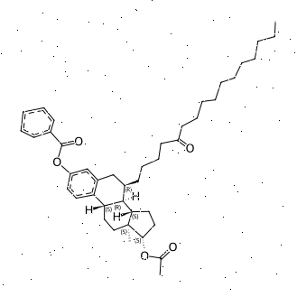 CCCCCCCCCCCC(=O)CCCC[C@@H]1Cc2cc(OC(=O)c3ccccc3)ccc2[C@H]2CC[C@]3(C)[C@@H](OC(C)=O)CC[C@H]3[C@H]12